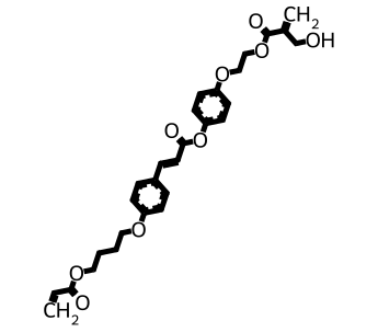 C=CC(=O)OCCCCOc1ccc(/C=C/C(=O)Oc2ccc(OCCOC(=O)C(=C)CO)cc2)cc1